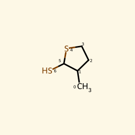 CC1CCSC1S